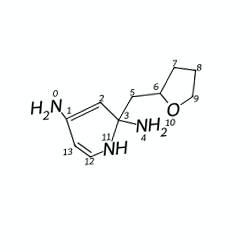 NC1=CC(N)(CC2CCCO2)NC=C1